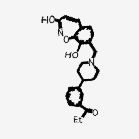 CCC(=O)c1cccc(C2CCN(Cc3ccc4c(c3O)ON=C(O)C=C4)CC2)c1